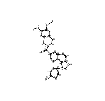 COc1cc2c(cc1OC)CN(C(=O)c1ccc3c4c(ccc3c1)OCC4c1ccc(Br)cc1)CC2